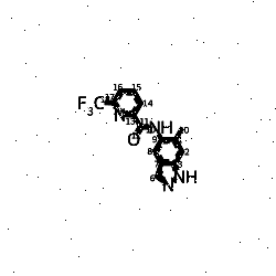 Cc1cc2[nH]ncc2cc1NC(=O)c1cccc(C(F)(F)F)n1